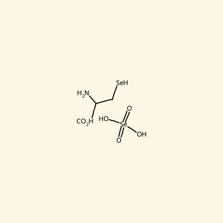 NC(C[SeH])C(=O)O.O=[Se](=O)(O)O